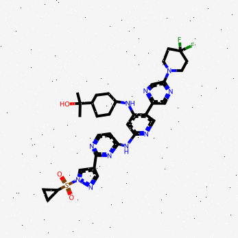 CC(C)(O)C1CCC(Nc2cc(Nc3ccnc(-c4cnn(S(=O)(=O)C5CC5)c4)n3)ncc2-c2cnc(N3CCC(F)(F)CC3)cn2)CC1